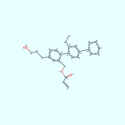 C=CC(=O)OCc1cc(CCCO)ccc1-c1ccc(-c2ccccc2)cc1CC